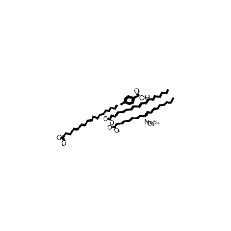 CCCCCCCCCCCCCCCCCC(=O)[O-].CCCCCCCCCCCCCCCCCC(=O)[O-].CCCCCCCCCCCCCCCCCC(=O)[O-].Cc1ccc(C(=O)O)cc1.[Ca+2].[Na+]